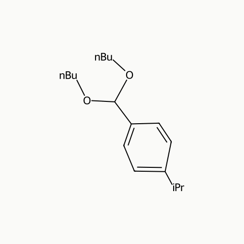 CCCCOC(OCCCC)c1ccc(C(C)C)cc1